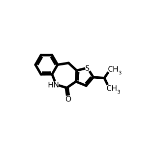 CC(C)c1cc2c(s1)Cc1ccccc1NC2=O